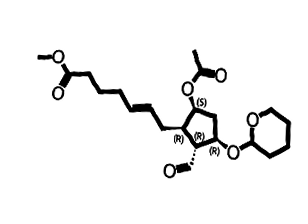 COC(=O)CCCC=CC[C@@H]1[C@@H](C=O)[C@H](OC2CCCCO2)C[C@@H]1OC(C)=O